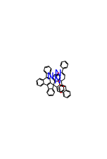 C1=C(c2ccccc2)N=C(n2c3ccccc3c3c4ccccc4c4c(c32)C2(c3ccccc3-c3ccccc32)c2ccccc2-4)N=C(c2ccc3ccccc3c2)C1